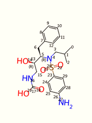 CC(C)CN([C@H](Cc1ccccc1)[C@H](O)CNC(=O)O)S(=O)(=O)c1ccc(N)cc1